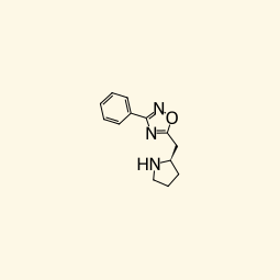 c1ccc(-c2noc(C[C@H]3CCCN3)n2)cc1